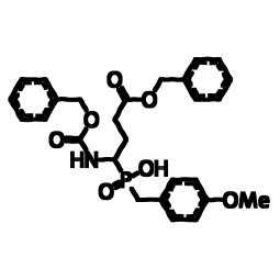 COc1ccc(CP(=O)(O)C(CCC(=O)OCc2ccccc2)NC(=O)OCc2ccccc2)cc1